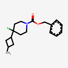 CC1CC(C2(F)CCN(C(=O)OCc3ccccc3)CC2)C1